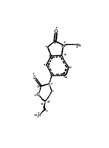 CCC(C)N1C(=O)Cc2cc(N3C[C@@H](CN)OC3=O)ccc21